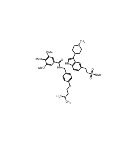 CNS(=O)(=O)CCc1ccc2[nH]cc(C3CCN(C)CC3)c2c1.COc1cc(C(=O)NCc2ccc(OCCN(C)C)cc2)cc(OC)c1OC